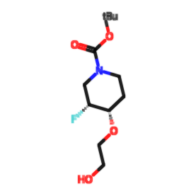 CC(C)(C)OC(=O)N1CC[C@H](OCCO)[C@H](F)C1